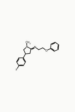 CN1CC(c2ccc(F)cc2)CC1=NCCOc1ccccc1